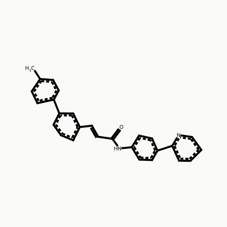 Cc1ccc(-c2cccc(C=CC(=O)Nc3ccc(-c4ccccn4)cc3)c2)cc1